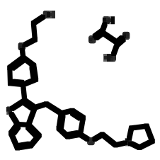 O=C(O)C(=O)O.OCCOc1ccc(-c2sc3ccccc3c2Cc2ccc(OCCN3CCCC3)cc2)cc1